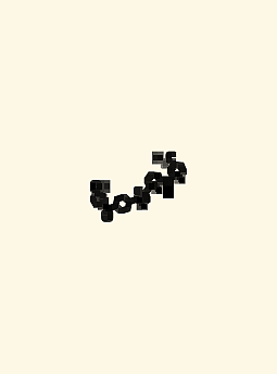 Cc1ccnc(Nc2cccc(-c3cnc(C4CCC(C(=O)N5CC[C@@H](O)C5)CC4)s3)n2)c1